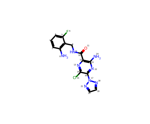 Nc1cccc(F)c1CNC(=O)c1nc(Cl)c(-n2nccn2)nc1N